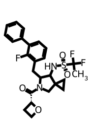 CC(F)(F)S(=O)(=O)NC1C(Cc2cccc(-c3ccccc3)c2F)N(C(=O)[C@H]2CCO2)CC12CC2